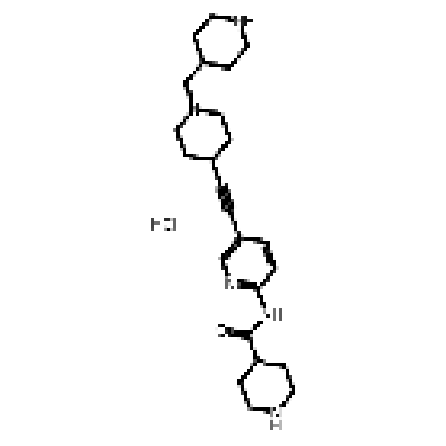 Cl.O=C(Nc1ccc(C#CC2CCN(CC3CCNCC3)CC2)cn1)C1CCNCC1